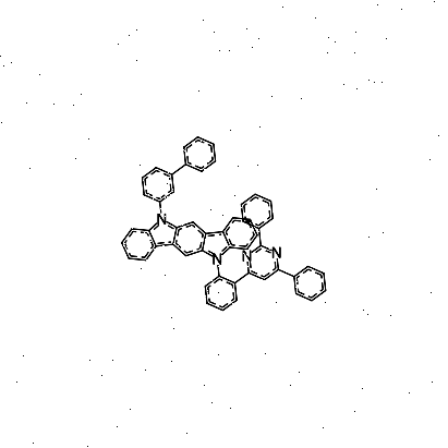 c1ccc(-c2cccc(-n3c4ccccc4c4cc5c(cc43)c3ccccc3n5-c3ccccc3-c3cc(-c4ccccc4)nc(-c4ccccc4)n3)c2)cc1